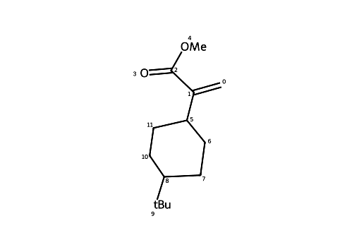 C=C(C(=O)OC)C1CCC(C(C)(C)C)CC1